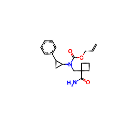 C=CCOC(=O)N(CC1(C(N)=O)CCC1)[C@H]1CC1c1ccccc1